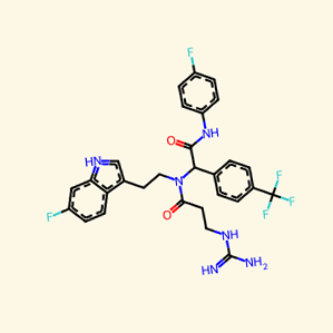 N=C(N)NCCC(=O)N(CCc1c[nH]c2cc(F)ccc12)C(C(=O)Nc1ccc(F)cc1)c1ccc(C(F)(F)F)cc1